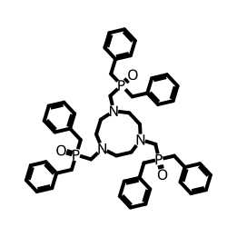 O=P(Cc1ccccc1)(Cc1ccccc1)CN1CCN(CP(=O)(Cc2ccccc2)Cc2ccccc2)CCN(CP(=O)(Cc2ccccc2)Cc2ccccc2)CC1